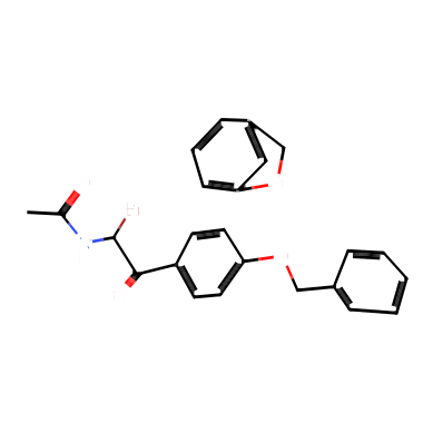 CC(=O)NC(Br)C(=O)c1ccc(OCc2ccccc2)cc1.c1cc2cc(c1)OC2